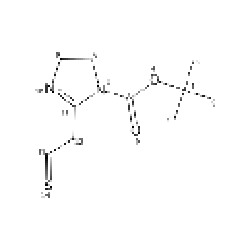 CC(C)(C)OC(=O)N1CCN=C1CC=S